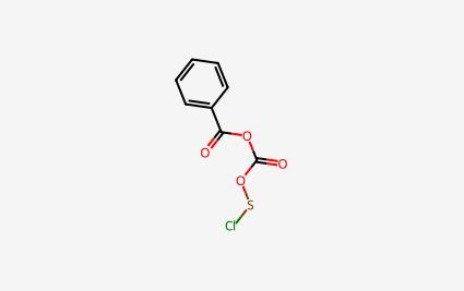 O=C(OSCl)OC(=O)c1ccccc1